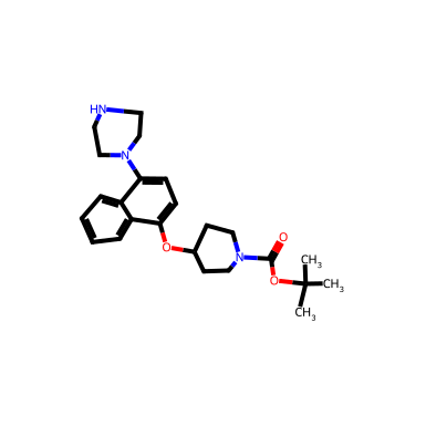 CC(C)(C)OC(=O)N1CCC(Oc2ccc(N3CCNCC3)c3ccccc23)CC1